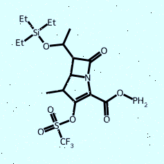 CC[Si](CC)(CC)OC(C)C1C(=O)N2C(C(=O)OP)=C(OS(=O)(=O)C(F)(F)F)C(C)C12